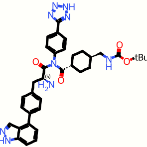 CC(C)(C)OC(=O)NC[C@H]1CC[C@H](C(=O)N(C(=O)[C@@H](N)Cc2ccc(-c3cccc4[nH]ncc34)cc2)c2ccc(-c3nn[nH]n3)cc2)CC1